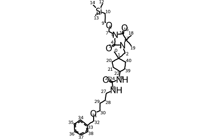 CC1(CN2C(=O)N(COCC[Si](C)(C)C)C(=O)C2(C)C)CCC(NC(=O)NCCCCOCc2ccccc2)CC1